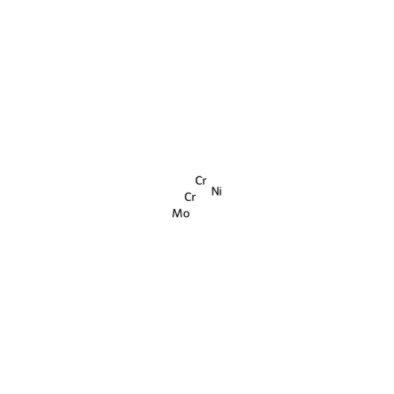 [Cr].[Cr].[Mo].[Ni]